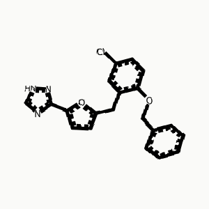 Clc1ccc(OCc2ccccc2)c(Cc2ccc(-c3nc[nH]n3)o2)c1